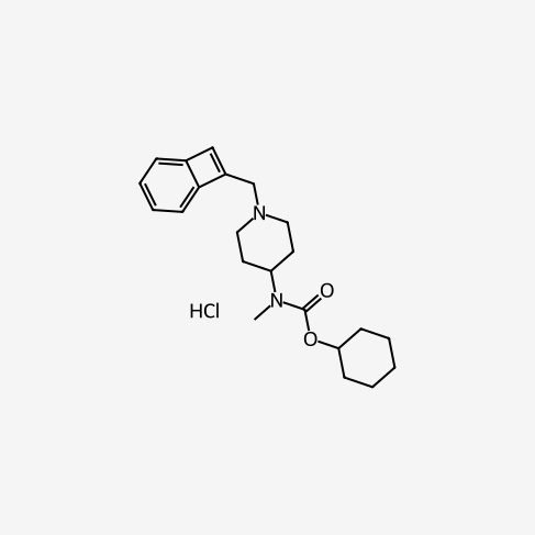 CN(C(=O)OC1CCCCC1)C1CCN(CC2=Cc3ccccc32)CC1.Cl